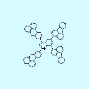 Cc1cc(-c2nc(-c3ccc(-c4cccc5cccnc45)c(C)c3)c3cc(-c4ccc5c6c(cccc46)-c4ccccc4-5)cc(-c4ccc5c6c(cccc46)-c4ccccc4-5)c3n2)ccc1-c1cccc2cccnc12